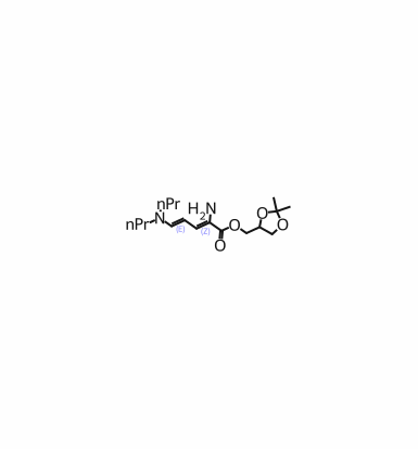 CCCN(/C=C/C=C(\N)C(=O)OCC1COC(C)(C)O1)CCC